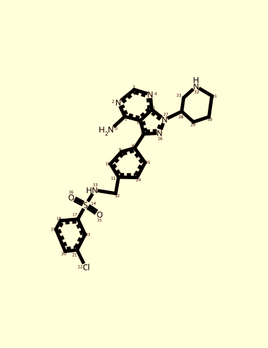 Nc1ncnc2c1c(-c1ccc(CNS(=O)(=O)c3cccc(Cl)c3)cc1)nn2C1CCCNC1